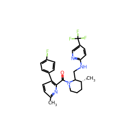 Cc1ccc(-c2ccc(F)cc2)c(C(=O)N2CCC[C@@H](C)C2CNc2ccc(C(F)(F)F)cn2)n1